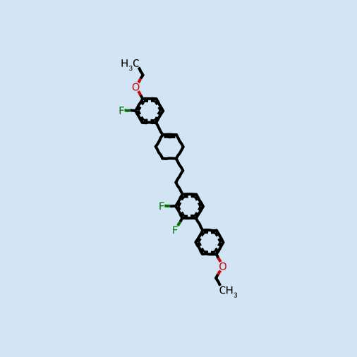 CCOc1ccc(-c2ccc(CCC3CC=C(c4ccc(OCC)c(F)c4)CC3)c(F)c2F)cc1